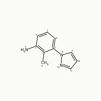 Cc1c(N)cccc1-n1cccn1